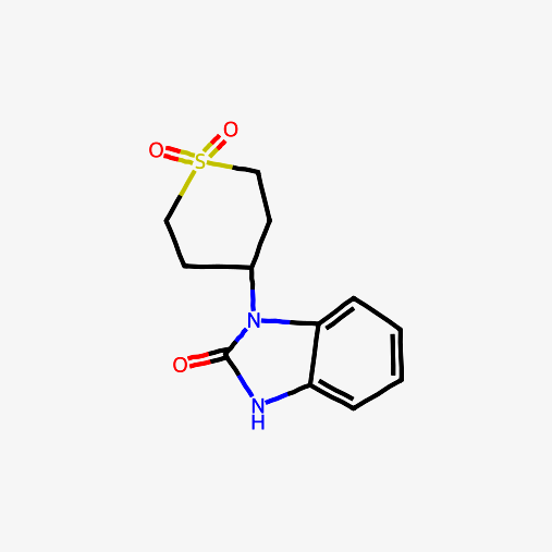 O=c1[nH]c2ccccc2n1C1CCS(=O)(=O)CC1